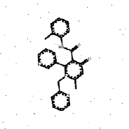 Cc1ccccc1NC(=O)c1c(-c2cccnc2)n(Cc2ccccn2)c(C)cc1=O